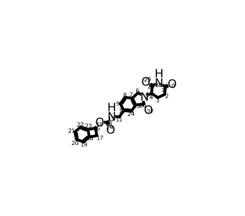 O=C1CCC(N2Cc3ccc(CNC(=O)OC4Cc5ccccc54)cc3C2=O)C(=O)N1